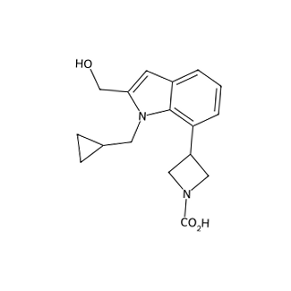 O=C(O)N1CC(c2cccc3cc(CO)n(CC4CC4)c23)C1